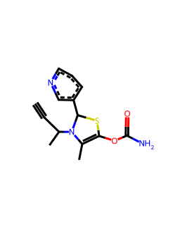 C#CC(C)N1C(C)=C(OC(N)=O)SC1c1cccnc1